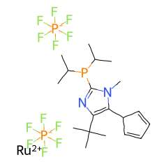 CC(C)P(c1nc(C(C)(C)C)c(C2C=CC=C2)n1C)C(C)C.F[P-](F)(F)(F)(F)F.F[P-](F)(F)(F)(F)F.[Ru+2]